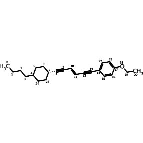 CCCC[C@H]1CC[C@H](C#C/C=C/C#Cc2ccc(OCC)cc2)CC1